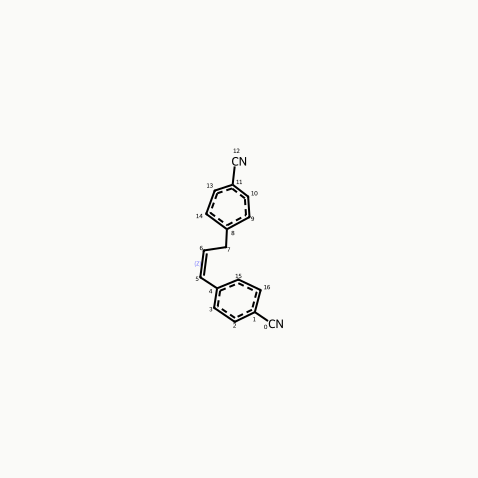 N#Cc1ccc(/C=C\Cc2ccc(C#N)cc2)cc1